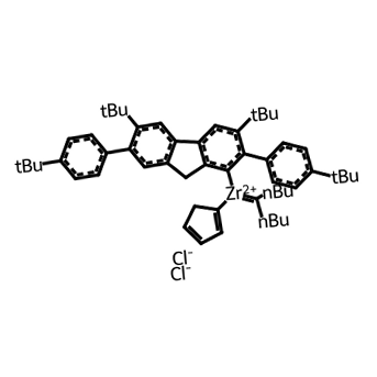 CCCC[C](CCCC)=[Zr+2]([C]1=CC=CC1)[c]1c2c(cc(C(C)(C)C)c1-c1ccc(C(C)(C)C)cc1)-c1cc(C(C)(C)C)c(-c3ccc(C(C)(C)C)cc3)cc1C2.[Cl-].[Cl-]